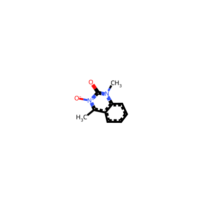 Cc1c2ccccc2n(C)c(=O)[n+]1[O-]